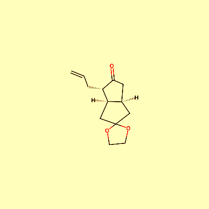 C=CC[C@@H]1C(=O)C[C@H]2CC3(C[C@H]21)OCCO3